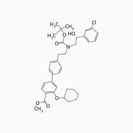 COC(=O)c1ccc(-c2ccc(CCN(C[C@H](O)c3cccc(Cl)c3)C(=O)OC(C)(C)C)cc2)cc1OC1CCCCC1